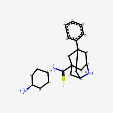 N[C@H]1CC[C@H](NC(=S)C23CC4CC(c5ccccc5)(CC(C2)N4)C3)CC1